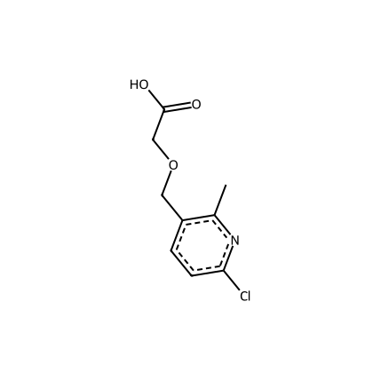 Cc1nc(Cl)ccc1COCC(=O)O